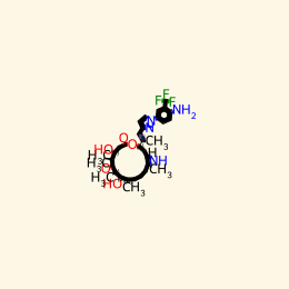 C/C(=C\c1ccn(-c2ccc(N)c(C(F)(F)F)c2)n1)[C@@H]1C[C@@H]2N[C@]2(C)CCC[C@H](C)[C@H](O)[C@@H](C)C(=O)C(C)(C)[C@@H](O)CC(=O)O1